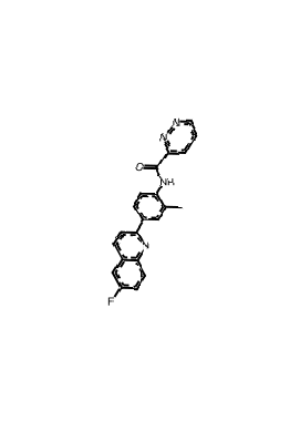 Cc1cc(-c2ccc3cc(F)ccc3n2)ccc1NC(=O)c1cccnn1